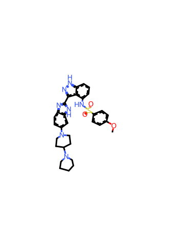 COc1ccc(S(=O)(=O)Nc2cccc3[nH]nc(-c4nc5ccc(N6CCC(N7CCCCC7)CC6)cc5[nH]4)c23)cc1